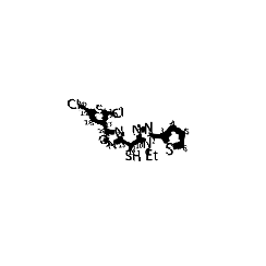 CCn1c(-c2cccs2)nnc1C(S)c1noc(-c2cc(Cl)sc2Cl)n1